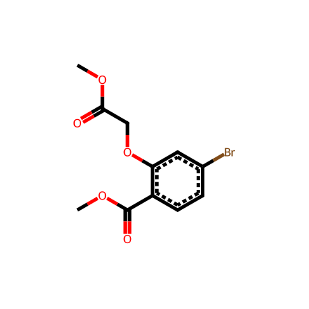 COC(=O)COc1cc(Br)ccc1C(=O)OC